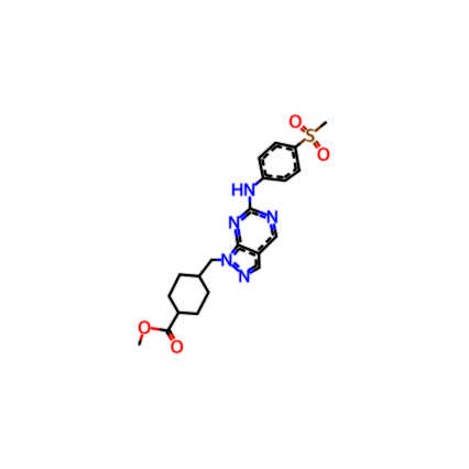 COC(=O)C1CCC(Cn2ncc3cnc(Nc4ccc(S(C)(=O)=O)cc4)nc32)CC1